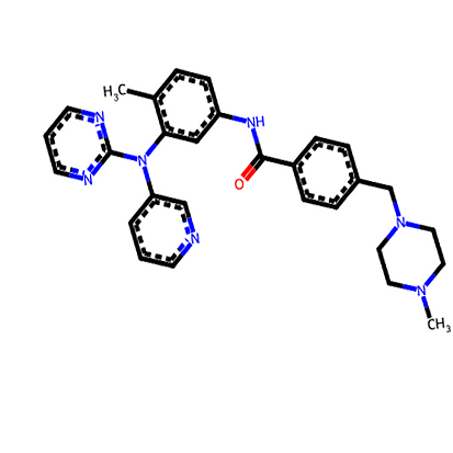 Cc1ccc(NC(=O)c2ccc(CN3CCN(C)CC3)cc2)cc1N(c1cccnc1)c1ncccn1